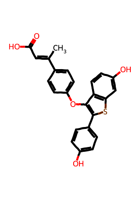 C/C(=C\C(=O)O)c1ccc(Oc2c(-c3ccc(O)cc3)sc3cc(O)ccc23)cc1